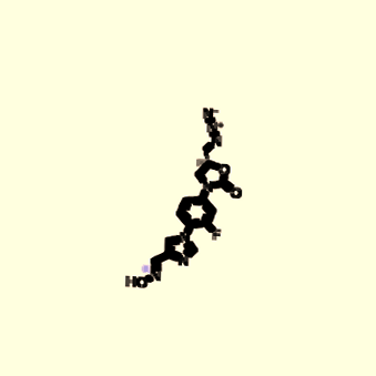 [N-]=[N+]=NC[C@H]1CN(c2ccc(-n3cnc(/C=N/O)c3)c(F)c2)C(=O)O1